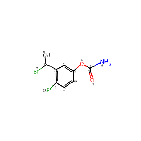 CC(Br)c1cc(OC(N)=O)ccc1F